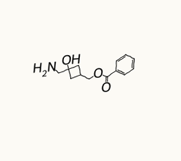 NCC1(O)CC(COC(=O)c2ccccc2)C1